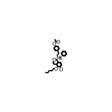 C=Cc1c(C(=O)N(CCc2ccc(OC(C)=O)cc2)Sc2ccccc2)ccc(OC)c1OCCCCC